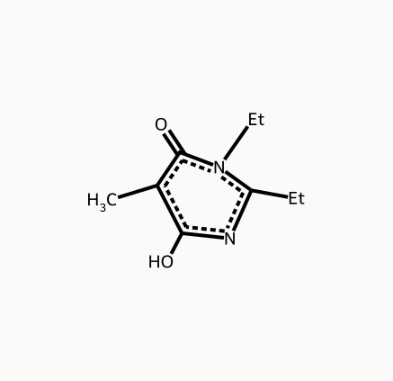 CCc1nc(O)c(C)c(=O)n1CC